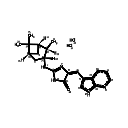 C[C@@H]1[C@H]2C[C@@H](C[C@H]1NC1=NC(=Cc3c[nH]c4ncccc34)C(=O)N1)C2(C)C.Cl.Cl